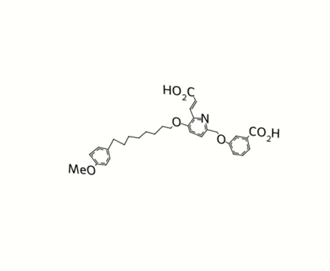 COc1ccc(CCCCCCCCOc2ccc(COc3cccc(C(=O)O)c3)nc2C=CC(=O)O)cc1